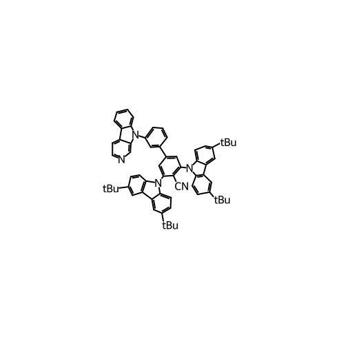 CC(C)(C)c1ccc2c(c1)c1cc(C(C)(C)C)ccc1n2-c1cc(-c2cccc(-n3c4ccccc4c4ccncc43)c2)cc(-n2c3ccc(C(C)(C)C)cc3c3cc(C(C)(C)C)ccc32)c1C#N